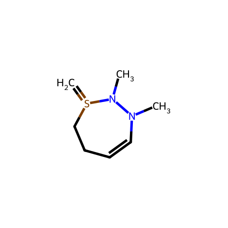 C=S1CCC=CN(C)N1C